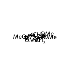 COc1cc(COCCOC(C)CCOC(C)CCOCc2cc(OC)cc(OC)c2)cc(OC)c1